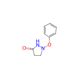 O=C1CCN(Oc2ccccc2)N1